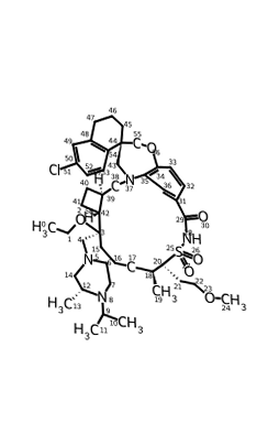 CCO[C@]1(CN2CCN(C(C)C)[C@H](C)C2)CCC[C@H](C)[C@@H](CCOC)S(=O)(=O)NC(=O)c2ccc3c(c2)N(C[C@@H]2CC[C@H]21)C[C@@]1(CCCc2cc(Cl)ccc21)CO3